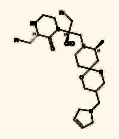 CC(C)C[C@@H]1NCCN([C@](C=O)(CC(C)C)CN2CCC3(C[C@@H]2C)OCC(CN2CC=CC2)CO3)C1=O